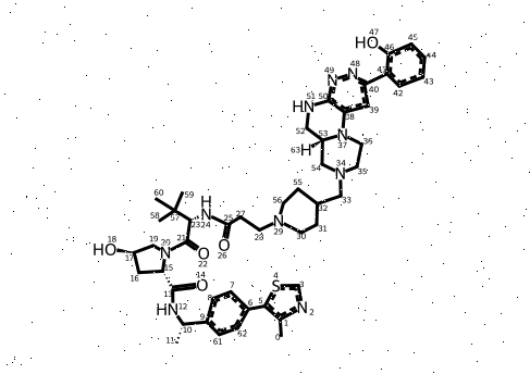 Cc1ncsc1-c1ccc([C@H](C)NC(=O)[C@@H]2C[C@@H](O)CN2C(=O)[C@@H](NC(=O)CCN2CCC(CN3CCN4c5cc(-c6ccccc6O)nnc5NC[C@H]4C3)CC2)C(C)(C)C)cc1